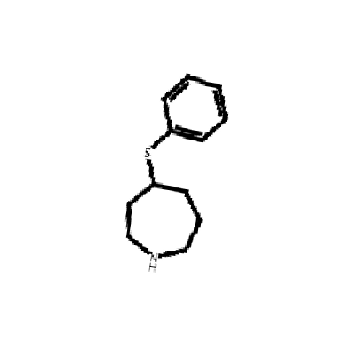 c1ccc(SC2CCCNCC2)cc1